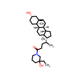 CCC1(O)CCCN(C(=O)CCC(C)[C@H]2CC[C@H]3[C@@H]4CC=C5C[C@@H](O)CC[C@]5(C)[C@H]4CC[C@]23C)C1